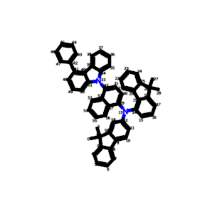 CC1(C)c2ccccc2-c2ccc(N(c3cccc4c3-c3ccccc3C4(C)C)c3ccc(-n4c5ccccc5c5c(-c6ccccc6)cccc54)c4ccccc34)cc21